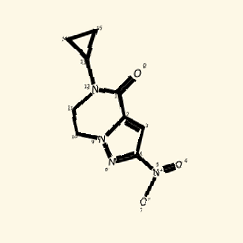 O=C1c2cc([N+](=O)[O-])nn2CCN1C1CC1